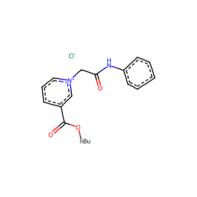 CCCCOC(=O)c1ccc[n+](CC(=O)Nc2ccccc2)c1.[Cl-]